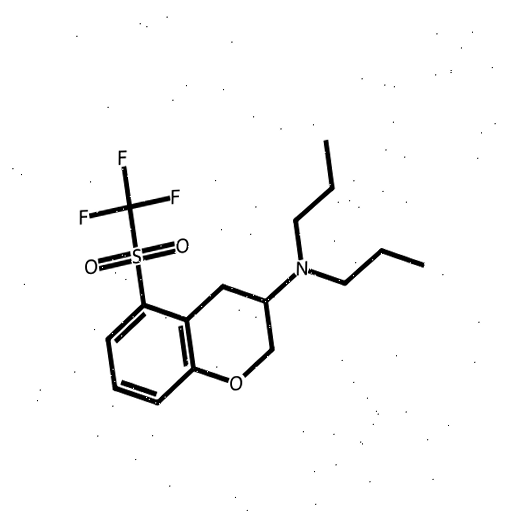 CCCN(CCC)C1COc2cccc(S(=O)(=O)C(F)(F)F)c2C1